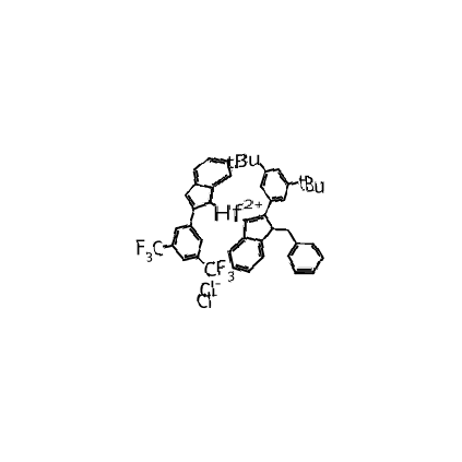 CC(C)(C)c1cc(C2=[C]([Hf+2][CH]3C(c4cc(C(F)(F)F)cc(C(F)(F)F)c4)=Cc4ccccc43)c3ccccc3C2Cc2ccccc2)cc(C(C)(C)C)c1.[Cl-].[Cl-]